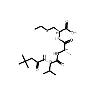 CCSC[C@H](NC(=O)[C@H](C)NC(=O)[C@@H](NC(=O)CC(C)(C)C)C(C)C)C(=O)O